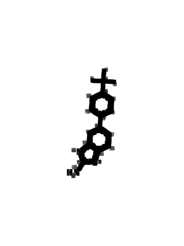 CC(C)(C)c1ccc(-c2[c]c3nc(N)sc3cc2)cc1